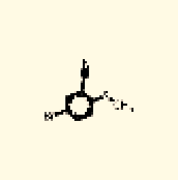 CSc1ccc(Br)cc1C#N